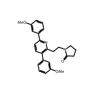 COc1cccc(-c2ccc(-c3cccc(OC)c3)c(CCN3CCCC3=O)n2)c1